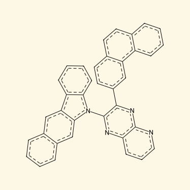 c1ccc2cc3c(cc2c1)c1ccccc1n3-c1nc2cccnc2nc1-c1ccc2ccc3ccccc3c2c1